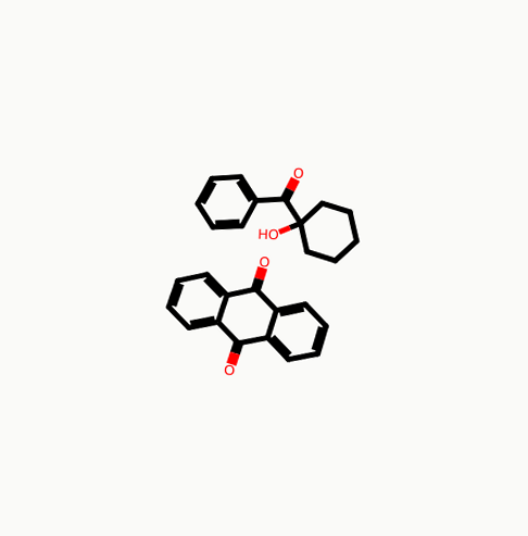 O=C(c1ccccc1)C1(O)CCCCC1.O=C1c2ccccc2C(=O)c2ccccc21